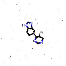 CC(C)c1cncnc1-c1ccc2[nH]cnc2c1